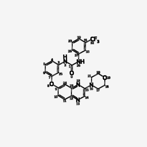 O=C(Nc1cccc(Oc2ccc3ncc(N4CCOCC4)nc3c2)c1)Nc1cccc(C(F)(F)F)c1